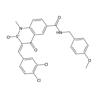 COc1ccc(CNC(=O)c2ccc3c(c2)C(=O)/C(=C\c2ccc(Cl)c(Cl)c2)[S+]([O-])N3C)cc1